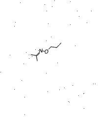 [CH2]C(C)=NOCCC